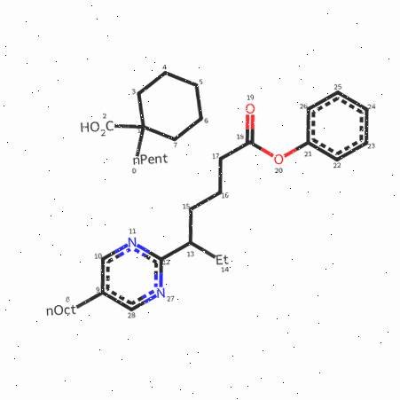 CCCCCC1(C(=O)O)CCCCC1.CCCCCCCCc1cnc(C(CC)CCCC(=O)Oc2ccccc2)nc1